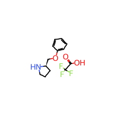 O=C(O)C(F)(F)F.c1ccc(OC[C@H]2CCCN2)cc1